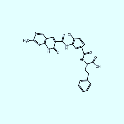 Cc1ncc2cc(C(=O)Nc3cc(C(=O)NN(CCc4ccccc4)C(=O)O)ccc3Cl)c(=O)[nH]c2n1